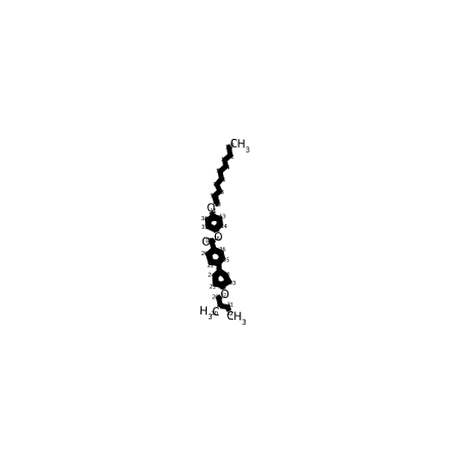 CCCCCCCCCC=COc1ccc(OC(=O)c2ccc(-c3ccc(OCC(C)CC)cc3)cc2)cc1